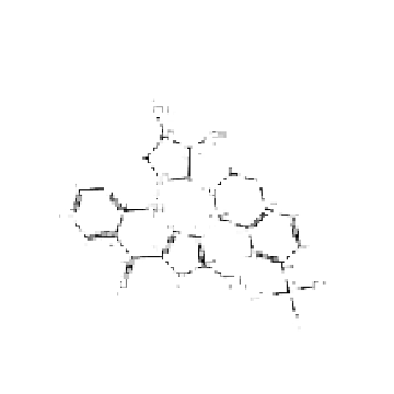 [CH2][C@@H]1C[C@@H](Nc2ncncc2C(=O)c2cc([C@@H]3OCCc4ccc(C(F)(F)F)nc43)c(C)s2)C[C@@H]1O